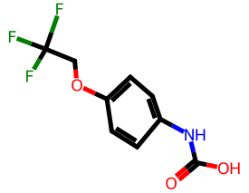 O=C(O)Nc1ccc(OCC(F)(F)F)cc1